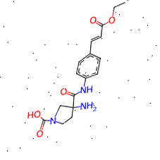 CCOC(=O)C=Cc1ccc(NC(=O)C2(N)CCN(C(=O)O)C2)cc1